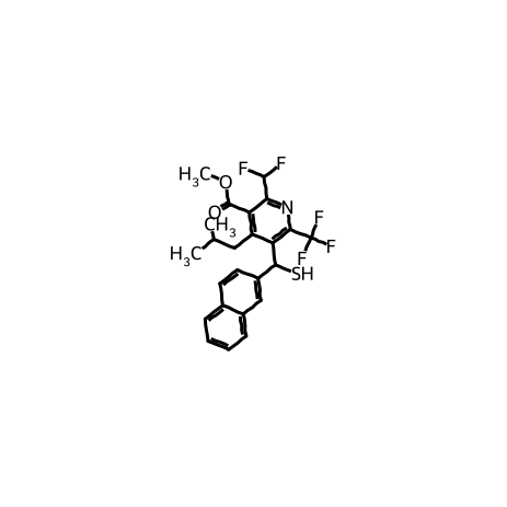 COC(=O)c1c(C(F)F)nc(C(F)(F)F)c(C(S)c2ccc3ccccc3c2)c1CC(C)C